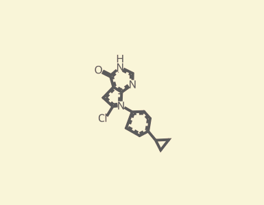 O=c1[nH]cnc2c1cc(Cl)n2-c1ccc(C2CC2)cc1